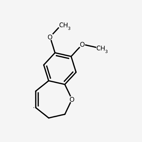 COc1cc2c(cc1OC)OCC[C]=C2